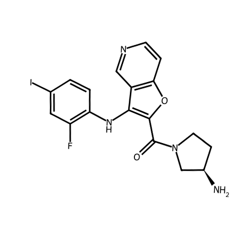 N[C@@H]1CCN(C(=O)c2oc3ccncc3c2Nc2ccc(I)cc2F)C1